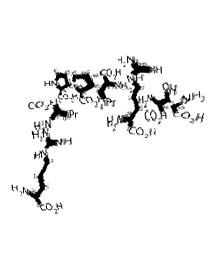 CC(C)C(N)C(=O)O.CC(C)CC(N)C(=O)O.N=C(N)NCCCC(N)C(=O)O.N=C(N)NCCCC(N)C(=O)O.NC(CO)C(=O)O.NCC(=O)O.O=C(O)[C@@H]1CCCN1.O=C(O)[C@@H]1CCCN1